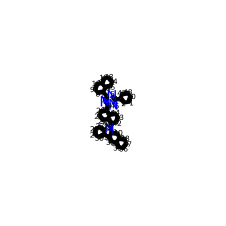 c1ccc(-c2nc(-c3cccc4ccccc34)nc(-c3cccc4c(-n5c6ccccc6c6cc7ccccc7cc65)cccc34)n2)cc1